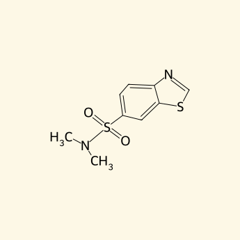 CN(C)S(=O)(=O)c1ccc2ncsc2c1